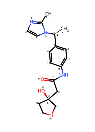 Cc1nccn1[C@H](C)c1ccc(NC(=O)C[C@@]2(O)CCOC2)cc1